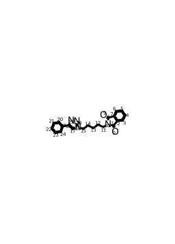 O=C1c2ccccc2C(=O)N1CCCCCn1cc(-c2ccccc2)nn1